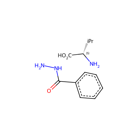 CC(C)[C@H](N)C(=O)O.NNC(=O)c1ccccc1